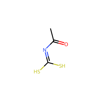 CC(=O)N=C(S)S